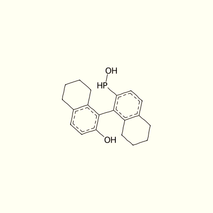 OPc1ccc2c(c1-c1c(O)ccc3c1CCCC3)CCCC2